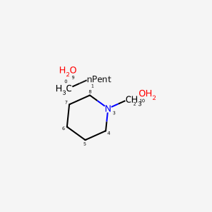 CCCCCC.CN1CCCCC1.O.O